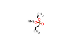 C=CCS(=O)(=O)OC=C.[NaH]